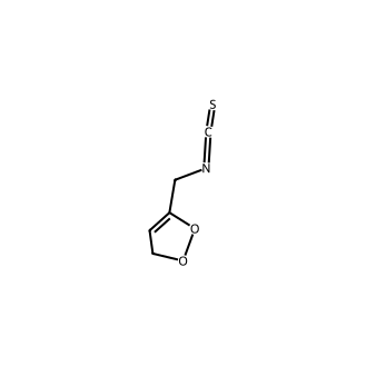 S=C=NCC1=CCOO1